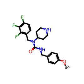 CC(C)Oc1ccc(CNC(=O)N(Cc2ccc(F)c(F)c2F)C2CCNCC2)cc1